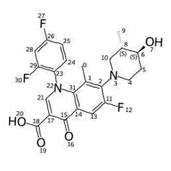 Cc1c(N2CC[C@H](O)[C@@H](C)C2)c(F)cc2c(=O)c(C(=O)O)cn(-c3ccc(F)cc3F)c12